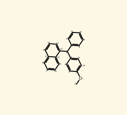 COc1ccc(C(c2ccccc2)c2cccc3ccccc23)cc1